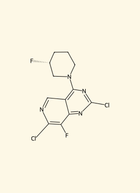 Fc1c(Cl)ncc2c(N3CCC[C@@H](F)C3)nc(Cl)nc12